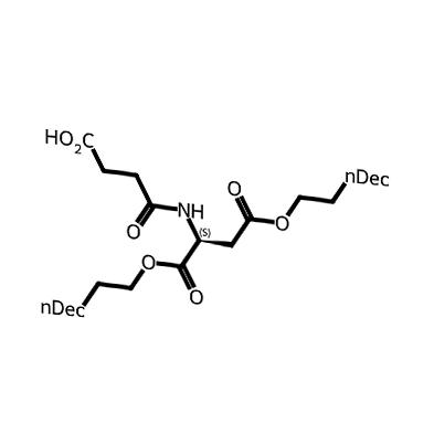 CCCCCCCCCCCCOC(=O)C[C@H](NC(=O)CCC(=O)O)C(=O)OCCCCCCCCCCCC